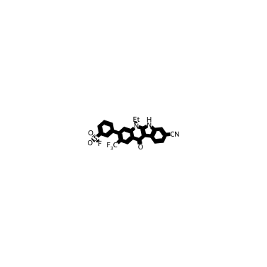 CCn1c2cc(-c3cccc(S(=O)(=O)F)c3)c(C(F)(F)F)cc2c(=O)c2c3ccc(C#N)cc3[nH]c21